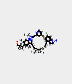 Cn1nc2nc1-c1cc(ccn1)Sc1c(F)cc3[nH]ccc3c1CCSCC(C)(C)CC[C@]2(C)c1cccc(CC(C)(C)C=O)c1